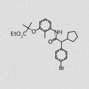 CCOC(=O)C(C)(C)Oc1cccc(NC(=O)C(c2ccc(Br)cc2)C2CCCC2)c1C